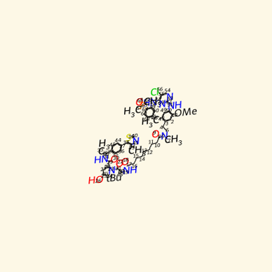 COc1cc(CCN(C)C(=O)CCCCCCCC(=O)N[C@H](C(=O)N2C[C@H](O)C[C@H]2C(=O)N[C@@H](C)c2ccc(-c3scnc3C)cc2)C(C)(C)C)c(C)cc1Nc1ncc(Cl)c(Nc2ccccc2P(C)(C)=O)n1